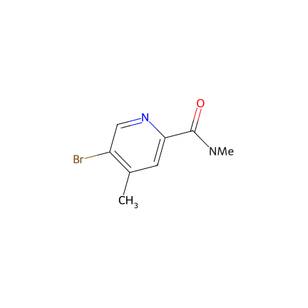 CNC(=O)c1cc(C)c(Br)cn1